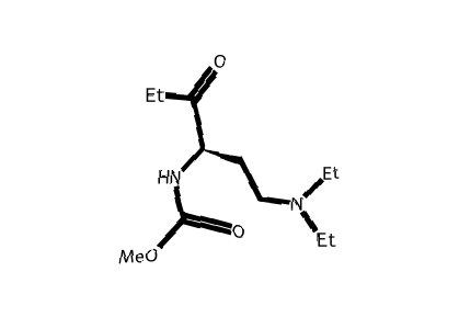 CCC(=O)[C@@H](CCN(CC)CC)NC(=O)OC